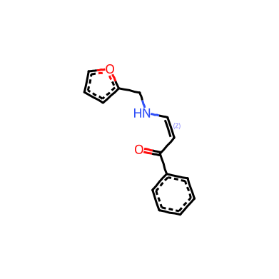 O=C(/C=C\NCc1ccco1)c1ccccc1